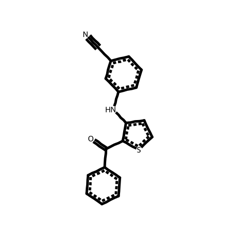 N#Cc1cccc(Nc2ccsc2C(=O)c2ccccc2)c1